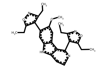 CCc1noc(CC)c1-c1cc2[nH]c3ccnc(-c4c(CC)noc4CC)c3c2cc1OC